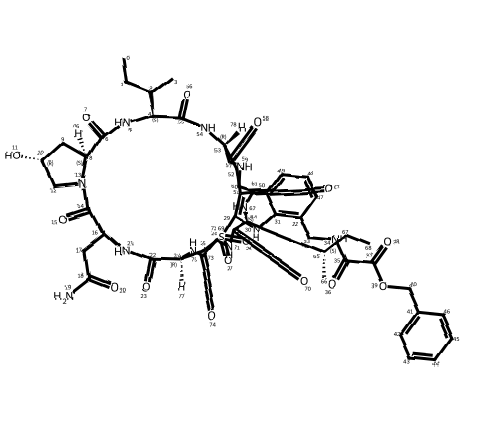 CCC(C)[C@@H]1NC(=O)[C@@H]2C[C@@H](O)CN2C(=O)C(CC(N)=O)NC(=O)[C@@H]2CS(=O)(=O)c3[nH]c4c(CNC(=O)C(=O)OCc5ccccc5)cccc4c3C[C@@H](NC1=O)C(=O)NCC(=O)N[C@@H]([C@@H](C)CC)C(=O)NCC(=O)N2